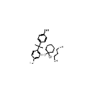 CC(C)(c1ccc(O)cc1)c1ccc(O)cc1.OC1(O)CCCCC1.OCCCO